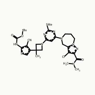 CSc1nc(N2CCCn3nc(C(=O)N(C)C)c(Cl)c3C2)cc(N2CC(C)(c3csc(NC(=O)OC(C)(C)C)c3C#N)C2)n1